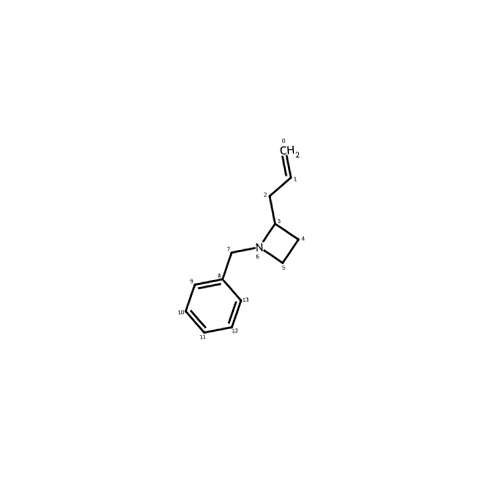 C=CCC1CCN1Cc1ccccc1